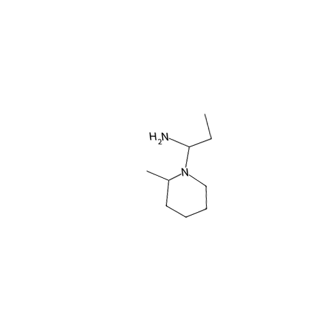 CCC(N)N1CCCCC1C